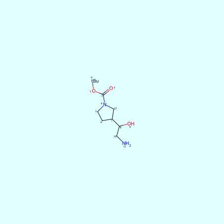 CC(C)(C)OC(=O)N1CCC(C(O)CN)C1